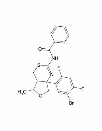 CC1OCC2(c3cc(Br)c(F)cc3F)N=C(NC(=O)c3ccccc3)SCC12